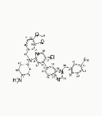 NC1CCC(N(Cc2ccc3c(c2)OCO3)c2cc(-c3ccc4ncn(Cc5cccc(F)c5)c4c3)c(Cl)cn2)CC1